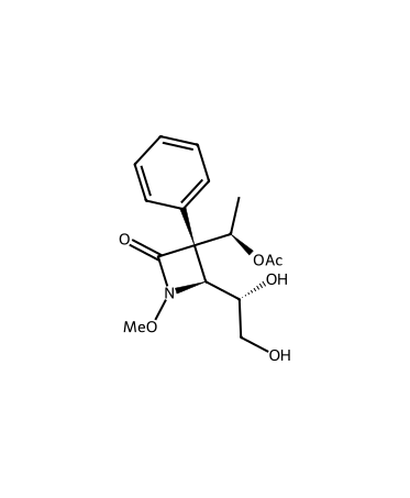 CON1C(=O)[C@](c2ccccc2)([C@@H](C)OC(C)=O)[C@H]1[C@H](O)CO